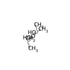 CCCCC(CC)CC(O)COCC(O)CC(CC)CCCC